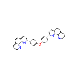 c1cnc2c(c1)ccc1ccc(-c3ccc(Oc4ccc(-c5ccc6ccc7cccnc7c6n5)cc4)cc3)nc12